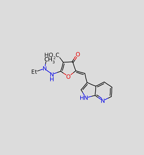 CCN(C)NC1=C(C(=O)O)C(=O)/C(=C/c2c[nH]c3ncccc23)O1